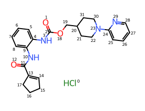 Cl.O=C(Nc1ccccc1NC(=O)C1=CCCC1)OCC1CCN(c2ccccn2)CC1